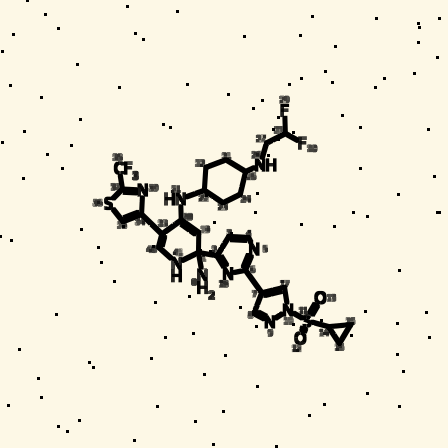 NC1(c2ccnc(-c3cnn(S(=O)(=O)C4CC4)c3)n2)C=C(NC2CCC(NCC(F)F)CC2)C(c2csc(C(F)(F)F)n2)=CN1